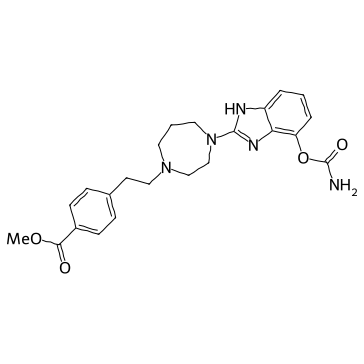 COC(=O)c1ccc(CCN2CCCN(c3nc4c(OC(N)=O)cccc4[nH]3)CC2)cc1